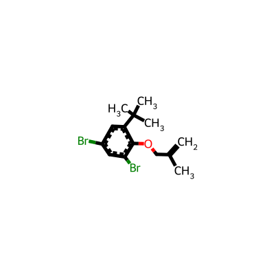 C=C(C)COc1c(Br)cc(Br)cc1C(C)(C)C